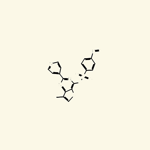 Cc1csc2c(OS(=O)(=O)c3ccc(P=S)cc3)nc(-c3ccncc3)nc12